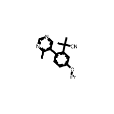 Cc1ncncc1-c1ccc(OC(C)C)cc1C(C)(C)C#N